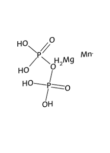 O=P(O)(O)OP(=O)(O)O.[MgH2].[Mn]